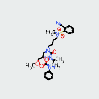 COCC(CN(CCCCN(C)S(=O)(=O)c1ccccc1C#N)C(=O)NC(C)C)OC(=O)Nc1ccccc1